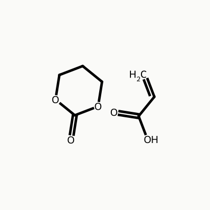 C=CC(=O)O.O=C1OCCCO1